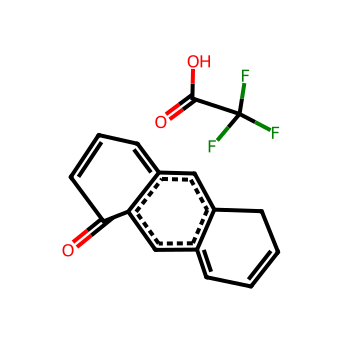 O=C(O)C(F)(F)F.O=C1C=CC=c2cc3c(cc21)=CC=CC3